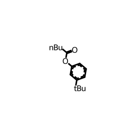 CCCCC(=O)Oc1cccc(C(C)(C)C)c1